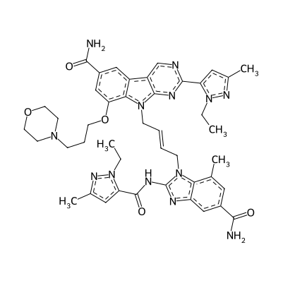 CCn1nc(C)cc1C(=O)Nc1nc2cc(C(N)=O)cc(C)c2n1C/C=C/Cn1c2nc(-c3cc(C)nn3CC)ncc2c2cc(C(N)=O)cc(OCCCN3CCOCC3)c21